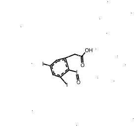 O=Ic1c(I)cc(I)cc1CC(=O)O